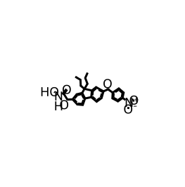 CCCC1(CCC)c2cc(C(=O)C(=O)NO)ccc2-c2ccc(C(=O)c3ccc([N+](=O)[O-])cc3)cc21